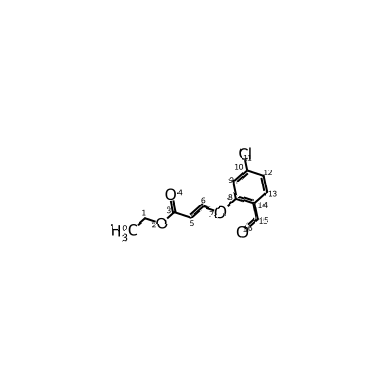 CCOC(=O)C=COc1cc(Cl)ccc1C=O